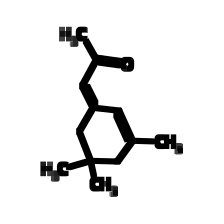 CC(=O)/C=C1\C=C(C)CC(C)(C)C1